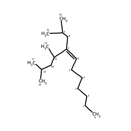 CCCCCCC=C(CC(C)C)C(C)CC(C)C